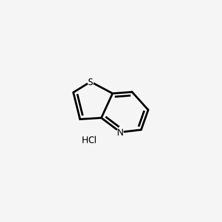 Cl.c1cnc2ccsc2c1